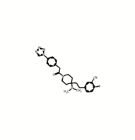 CN(C)C1(CCc2ccc(F)c(C#N)c2)CCN(C(=O)Cc2ccc(-n3cnnn3)cc2)CC1